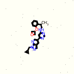 CC(CNc1cc(-c2cnc3c(cnn3CC3CC3)c2)ncn1)c1ccccc1OC1COC1